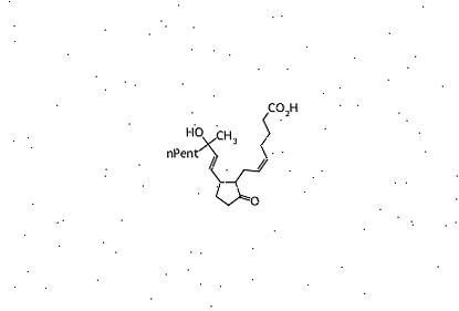 CCCCCC(C)(O)/C=C/C1CCC(=O)C1C/C=C\CCCC(=O)O